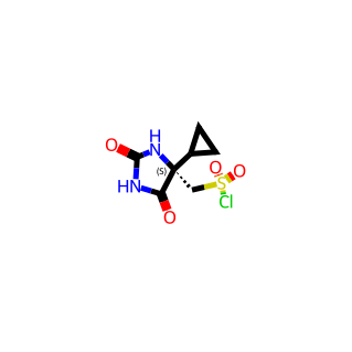 O=C1NC(=O)[C@](CS(=O)(=O)Cl)(C2CC2)N1